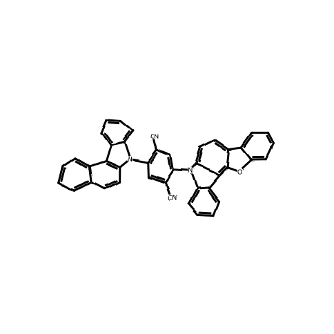 N#Cc1cc(-n2c3ccccc3c3c4oc5ccccc5c4ccc32)c(C#N)cc1-n1c2ccccc2c2c3ccccc3ccc21